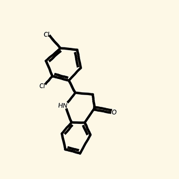 O=C1CC(c2ccc(Cl)cc2Cl)Nc2ccccc21